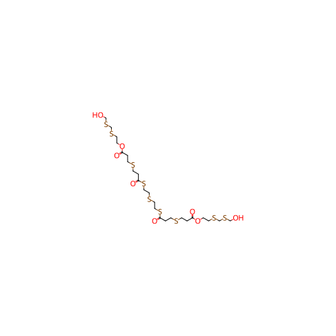 O=C(CCSCCC(=O)SCCSCCSC(=O)CCSCCC(=O)OCCSCSCO)OCCSCSCO